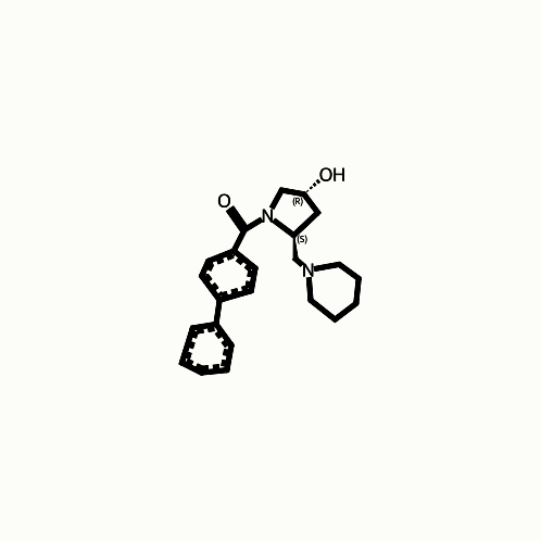 O=C(c1ccc(-c2ccccc2)cc1)N1C[C@H](O)C[C@H]1CN1CCCCC1